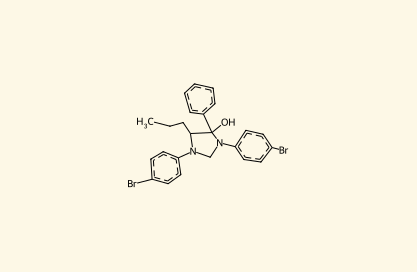 CCCC1N(c2ccc(Br)cc2)CN(c2ccc(Br)cc2)C1(O)c1ccccc1